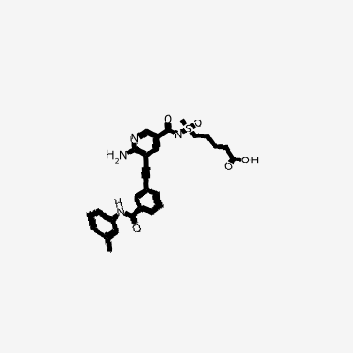 Cc1cccc(NC(=O)c2cccc(C#Cc3cc(C(=O)N=S(C)(=O)CCCCC(=O)O)cnc3N)c2)c1